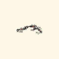 Cc1ncsc1-c1ccc(C(C)NC(=O)C2CC(O)CN2C(=O)[C@@H](NC(=O)COCCN2CCN(S(=O)(=O)c3ccc(NC(=O)NCc4cccnc4)cc3)CC2)C(C)(C)C)cc1